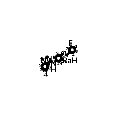 Fc1cccc(COc2ccc(Nc3ncnc4ccc(I)cc34)c[c]2[RaH])c1